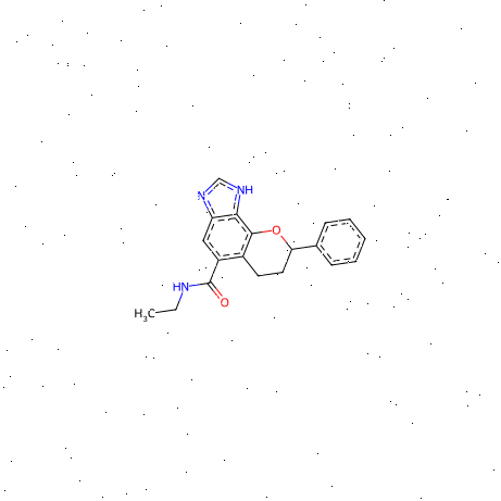 CCNC(=O)c1cc2nc[nH]c2c2c1CCC(c1ccccc1)O2